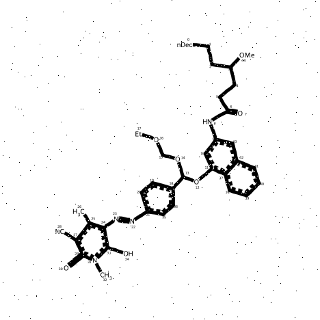 CCCCCCCCCCCCC(CCC(=O)Nc1cc(OC(OCOCC)c2ccc(N=Nc3c(C)c(C#N)c(=O)n(C)c3O)cc2)c2ccccc2c1)OC